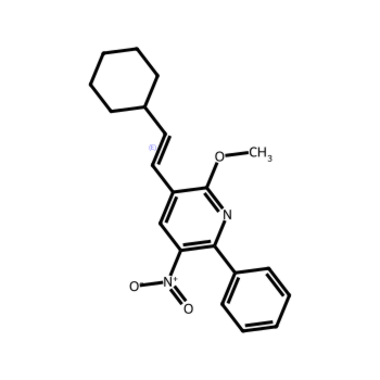 COc1nc(-c2ccccc2)c([N+](=O)[O-])cc1/C=C/C1CCCCC1